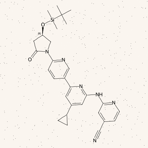 CC(C)(C)[Si](C)(C)O[C@@H]1CC(=O)N(c2ccc(-c3cc(C4CC4)cc(Nc4cc(C#N)ccn4)n3)cn2)C1